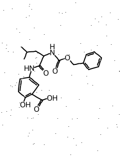 CC(C)CC(NC(=O)OCc1ccccc1)C(=O)Nc1ccc(O)c(C(=O)O)c1